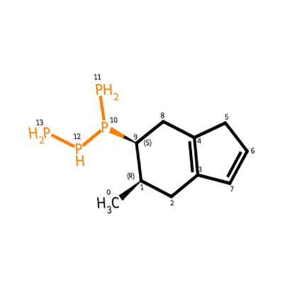 C[C@@H]1CC2=C(CC=C2)C[C@@H]1P(P)PP